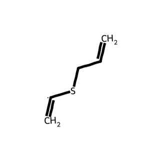 C=[C]SCC=C